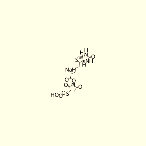 O=C1N[C@H]2CSC(CCCCC(=O)ON3C(=O)CC(SOOO)C3=O)[C@H]2N1.[NaH]